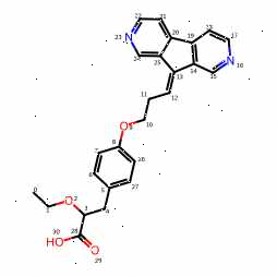 CCOC(Cc1ccc(OCCC=C2c3cnccc3-c3ccncc32)cc1)C(=O)O